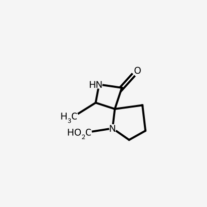 CC1NC(=O)C12CCCN2C(=O)O